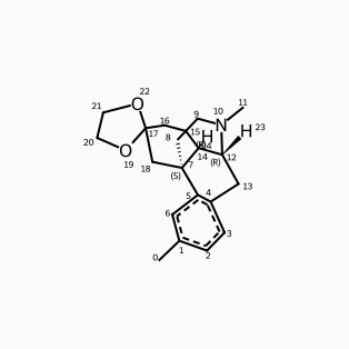 Cc1ccc2c(c1)[C@]13CCN(C)[C@H](C2)[C@@H]1CCC1(C3)OCCO1